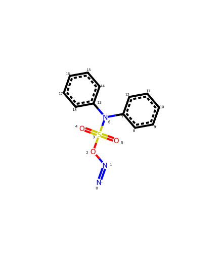 [N]=NOS(=O)(=O)N(c1ccccc1)c1ccccc1